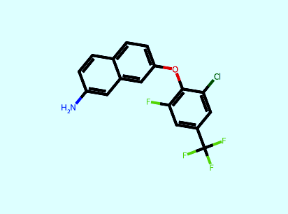 Nc1ccc2ccc(Oc3c(F)cc(C(F)(F)F)cc3Cl)cc2c1